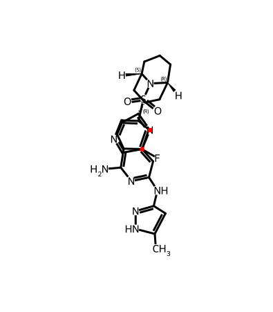 Cc1cc(Nc2cc3nc([C@H]4C[C@H]5CCC[C@@H](C4)N5S(=O)(=O)c4cncc(F)c4)ccc3c(N)n2)n[nH]1